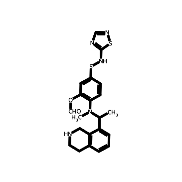 CC(c1cccc2c1CNCC2)N(C)c1ccc(SNc2ncns2)cc1OC=O